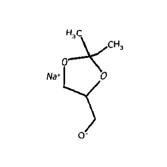 CC1(C)OCC(C[O-])O1.[Na+]